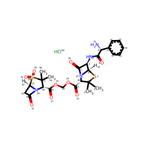 CC1(C)S[C@@H]2[C@H](NC(=O)[C@H](N)c3ccccc3)C(=O)N2[C@H]1C(=O)OCOC(=O)[C@@H]1N2C(=O)C[C@H]2S(=O)(=O)C1(C)C.Cl